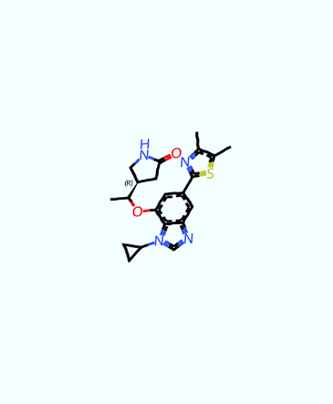 Cc1nc(-c2cc(OC(C)[C@H]3CNC(=O)C3)c3c(c2)ncn3C2CC2)sc1C